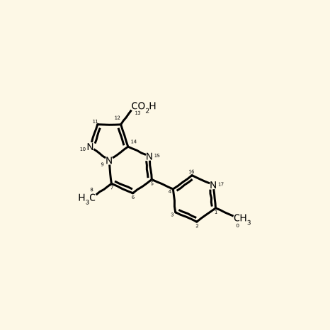 Cc1ccc(-c2cc(C)n3ncc(C(=O)O)c3n2)cn1